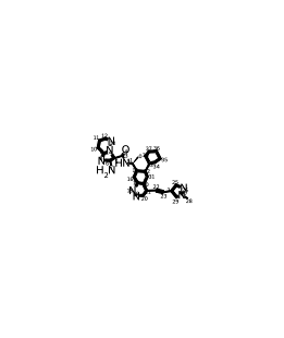 C[C@H](NC(=O)c1c(N)nc2cccnn12)c1cc2nncc(C#Cc3cnn(C)c3)c2cc1-c1ccccc1